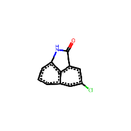 O=C1Nc2cccc3cc(Cl)cc1c23